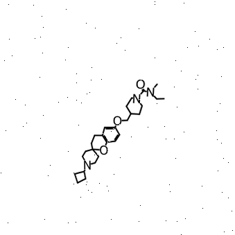 CCN(C)C(=O)N1CCC(COc2ccc3c(c2)CCC2(CCN(C4CCC4)CC2)O3)CC1